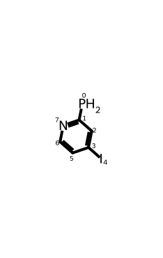 Pc1cc(I)ccn1